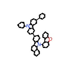 c1ccc(-c2ccc3c(c2)c2cc(-c4ccc5c(c4)c4ccc6ccccc6c4n5-c4cccc5oc6ccccc6c45)ccc2n3-c2ccccc2)cc1